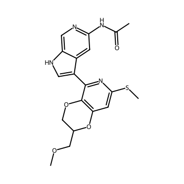 COCC1COc2c(cc(SC)nc2-c2c[nH]c3cnc(NC(C)=O)cc23)O1